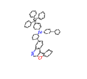 c1ccc(-c2ccc(N(c3ccc([Si](c4ccccc4)(c4ccccc4)c4ccccc4)cc3)c3cccc(-c4ccc5c(c4)ncc4oc6ccccc6c45)c3)cc2)cc1